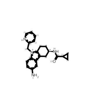 Nc1ccc2c(c1)c1c(n2Cc2ccccn2)CC[C@@H](NC(=O)C2CC2)C1